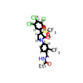 CCC(=O)NCc1ccc(N2CCC(c3cc(Cl)c(Cl)c(Cl)c3)(S(=O)(=O)C(F)(F)F)C2=O)cc1C(F)(F)F